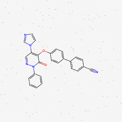 N#Cc1ccc(-c2ccc(Oc3c(-n4ccnc4)cnn(-c4ccccc4)c3=O)cc2)cc1